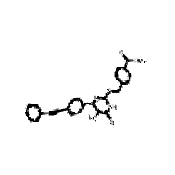 COC(=O)c1ccc(CSc2nc(-c3ccc(C#Cc4ccccc4)cc3)c(C#N)c(=O)[nH]2)cc1